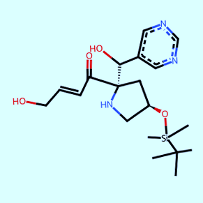 CC(C)(C)[Si](C)(C)O[C@H]1CN[C@](C(=O)C=CCO)(C(O)c2cncnc2)C1